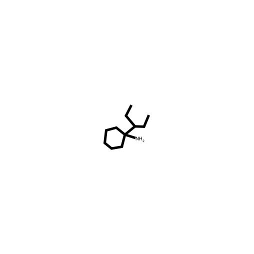 CCC(CC)C1(N)CCCCC1